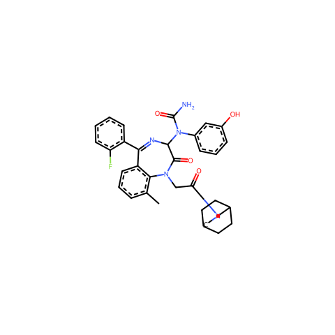 Cc1cccc2c1N(CC(=O)N1CC3CCC(CC3)C1)C(=O)C(N(C(N)=O)c1cccc(O)c1)N=C2c1ccccc1F